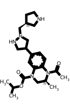 CC(=O)N1c2ccc(C3CNN(C[C@H]4CCNC4)C3)cc2N(C(=O)OC(C)C)C[C@@H]1C